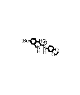 CC(C)(C)c1ccc2c(c1)CNC(C(=O)Nc1ccc3c(c1)OCCO3)C2.Cl